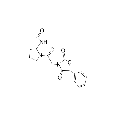 O=CNC1CCCN1C(=O)CN1C(=O)OC(c2ccccc2)C1=O